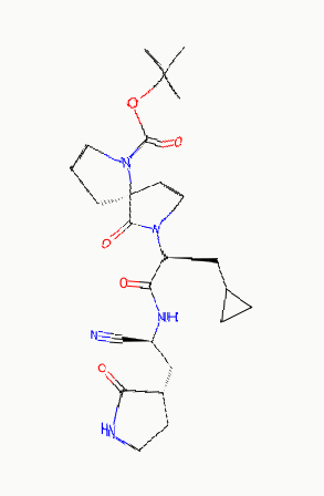 CC(C)(C)OC(=O)N1CCC[C@@]12CCN([C@@H](CC1CC1)C(=O)N[C@H](C#N)C[C@@H]1CCNC1=O)C2=O